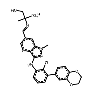 Cn1nc(Nc2cccc(-c3ccc4c(c3)OCCO4)c2Cl)c2ncc(C=NC(C)(CO)C(=O)O)cc21